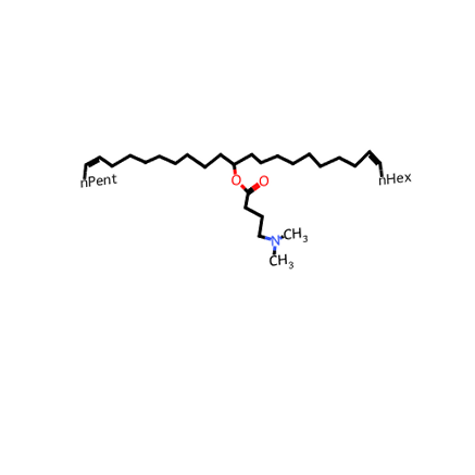 CCCCC/C=C\CCCCCCCCC(CCCCCCCC/C=C\CCCCCC)OC(=O)CCCN(C)C